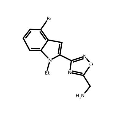 CCn1c(-c2noc(CN)n2)cc2c(Br)cccc21